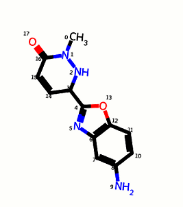 CN1NC(c2nc3cc(N)ccc3o2)C=CC1=O